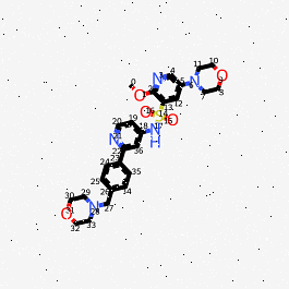 COc1ncc(N2CCOCC2)cc1S(=O)(=O)Nc1ccnc(-c2ccc(CN3CCOCC3)cc2)c1